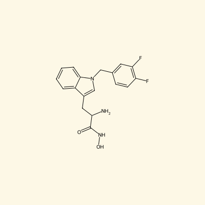 NC(Cc1cn(Cc2ccc(F)c(F)c2)c2ccccc12)C(=O)NO